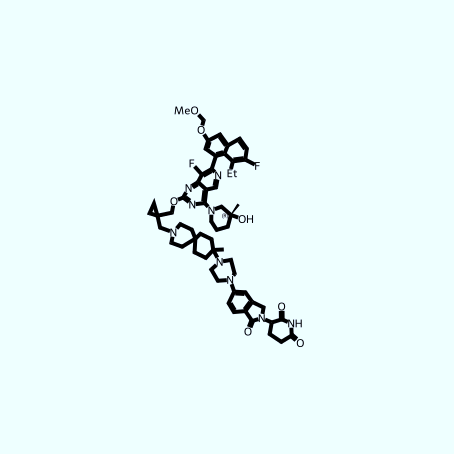 CCc1c(F)ccc2cc(OCOC)cc(-c3ncc4c(N5CCC[C@@](C)(O)C5)nc(OCC5(CN6CCC7(CC6)CCC(C)(N6CCN(c8ccc9c(c8)CN(C8CCC(=O)NC8=O)C9=O)CC6)CC7)CC5)nc4c3F)c12